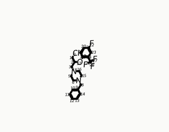 CCC(CN1CCN(Cc2ccccc2)CC1)Oc1ccc(F)cc1C(F)(F)F